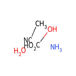 CC#N.N.O.O=C(O)O